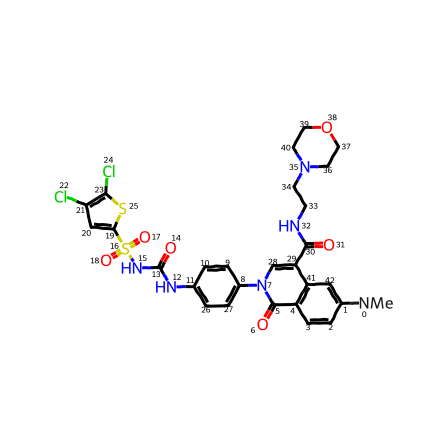 CNc1ccc2c(=O)n(-c3ccc(NC(=O)NS(=O)(=O)c4cc(Cl)c(Cl)s4)cc3)cc(C(=O)NCCN3CCOCC3)c2c1